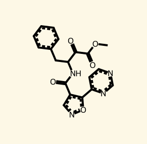 COC(=O)C(=O)C(Cc1ccccc1)NC(=O)c1cnoc1-c1ccncn1